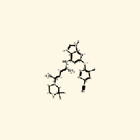 Cc1cc(C#N)ncc1Oc1cc(N/C(N)=C/C=C(\N)N2CCOC(C)(C)C2)c2ncn(C)c2n1